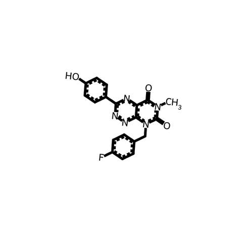 Cn1c(=O)c2nc(-c3ccc(O)cc3)nnc2n(Cc2ccc(F)cc2)c1=O